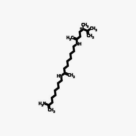 C=C(N)CCCCCCCNC(=C)CCCCCCCNC(=C)CC[C@H](C)C(=C)C